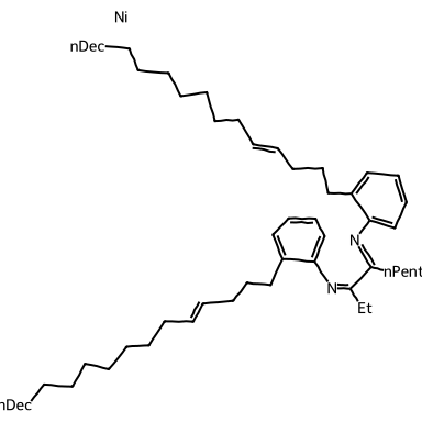 CCCCCCCCCCCCCCCCCC=CCCCc1ccccc1N=C(CC)C(CCCCC)=Nc1ccccc1CCCC=CCCCCCCCCCCCCCCCCC.[Ni]